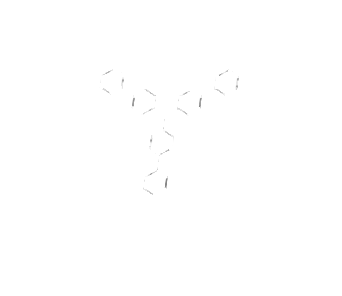 c1ccc(-c2ccc(C(c3ccc(-c4ccccc4)cc3)c3ccc(-c4ccccc4)cc3)cc2)cc1